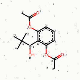 CC(=O)Oc1cccc(OC(C)=O)c1C(O)C(C)(C)C